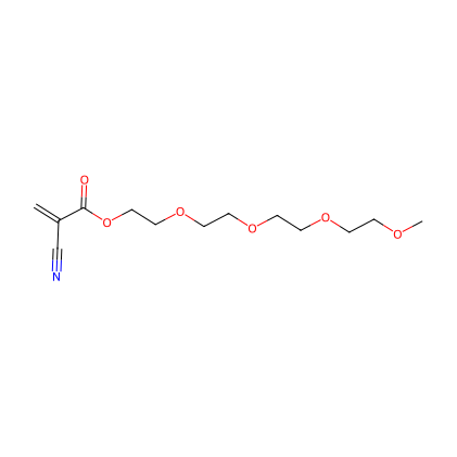 C=C(C#N)C(=O)OCCOCCOCCOCCOC